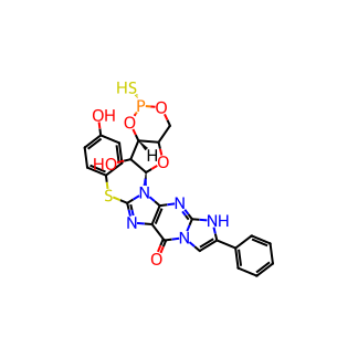 O=c1c2nc(Sc3ccc(O)cc3)n([C@@H]3OC4CO[P@@](S)O[C@H]4C3O)c2nc2[nH]c(-c3ccccc3)cn12